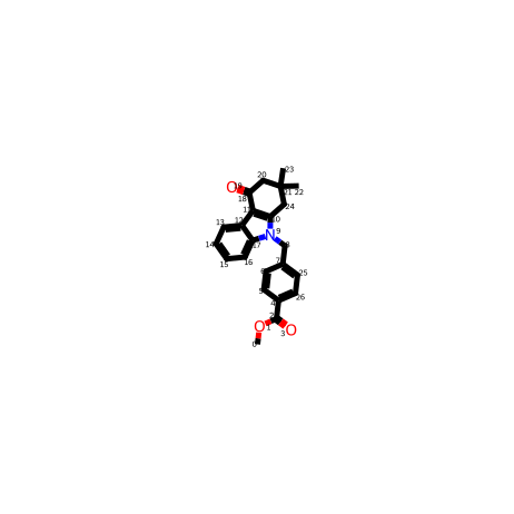 COC(=O)c1ccc(Cn2c3c(c4ccccc42)C(=O)CC(C)(C)C3)cc1